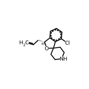 C=CC[C@H]1OC2(CCNCC2)c2c(Cl)cccc21